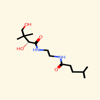 CC(C)CCC(=O)NCCNC(=O)[C@H](O)C(C)(C)CO